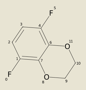 Fc1ccc(F)c2c1OCCO2